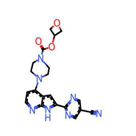 N#Cc1cnc(-c2cc3c(N4CCN(C(=O)OC5COC5)CC4)ccnc3[nH]2)nc1